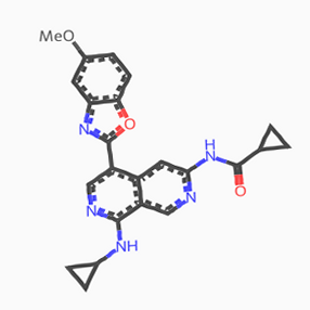 COc1ccc2oc(-c3cnc(NC4CC4)c4cnc(NC(=O)C5CC5)cc34)nc2c1